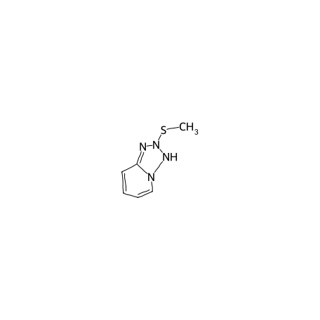 CSN1N=C2C=CC=CN2N1